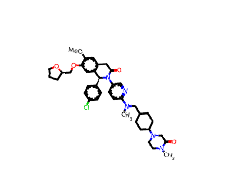 COc1cc2c(cc1OCC1CCCO1)[C@H](c1ccc(Cl)cc1)N(c1ccc(N(C)CC3CCC(N4CCN(C)C(=O)C4)CC3)nc1)C(=O)C2